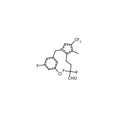 Cc1c(C(F)(F)F)cn(Cc2cc(F)cc(Cl)c2)c1CCC(F)(F)C=O